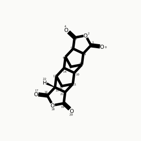 O=C1OC(=O)C2C3CC(C12)C1C2CC(C31)[C@H]1C(=O)OC(=O)C21